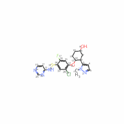 Cn1nccc1C1CC(O)CC[C@@H]1Oc1cc(F)c(SNc2ccncn2)cc1Cl